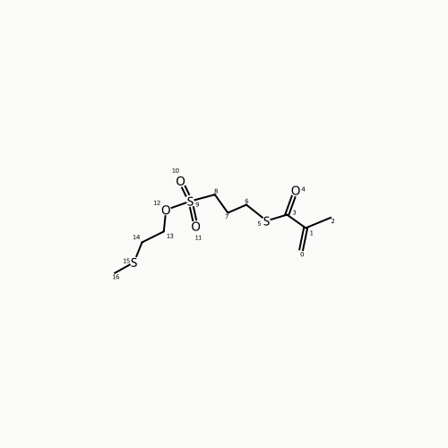 C=C(C)C(=O)SCCCS(=O)(=O)OCCSC